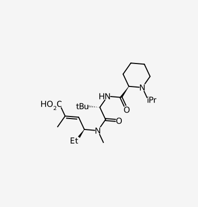 CC[C@@H](/C=C(\C)C(=O)O)N(C)C(=O)[C@@H](NC(=O)[C@H]1CCCCN1C(C)C)C(C)(C)C